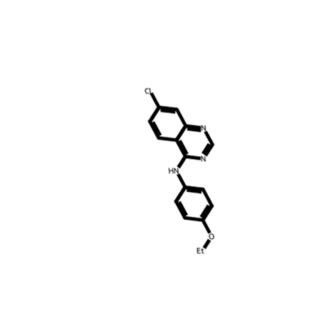 CCOc1ccc(Nc2ncnc3cc(Cl)ccc23)cc1